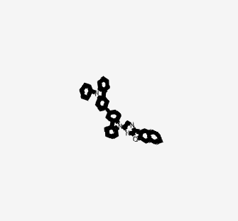 c1ccc(-n2c3ccccc3c3cc(-c4ccc5c(c4)c4ccccc4n5-c4cnc5c(n4)oc4cc6ccccc6cc45)ccc32)cc1